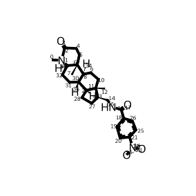 CN1C(=O)CC[C@]2(C)[C@H]3CC[C@]4(C)[C@@H](CNC(=O)c5ccc([N+](=O)[O-])cc5)CC[C@H]4[C@@H]3CC[C@@H]12